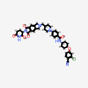 N#Cc1ccc(O[C@H]2CC[C@H](NC(=O)c3ccc(N4CCC(CN5Cc6cc7c(cc6C5)C(=O)N([C@@H]5CCC(=O)NC5=O)C7=O)CC4)cc3)CC2)cc1Cl